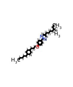 CCCCCC1CCC(CCCOc2ccc(-c3ncc(CCCCC(C)CC)cn3)cc2)CC1